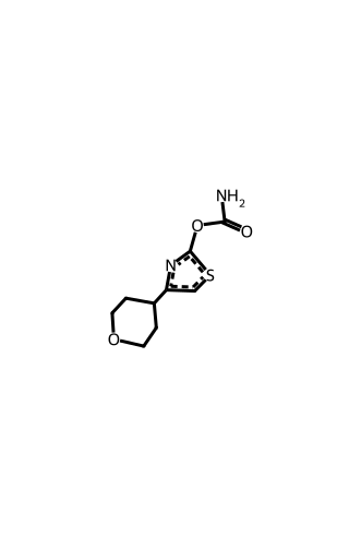 NC(=O)Oc1nc(C2CCOCC2)cs1